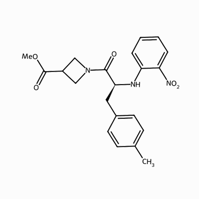 COC(=O)C1CN(C(=O)[C@H](Cc2ccc(C)cc2)Nc2ccccc2[N+](=O)[O-])C1